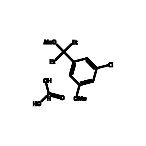 CCC(CC)(OC)c1cc(Cl)cc(OC)c1.O=[PH](O)O